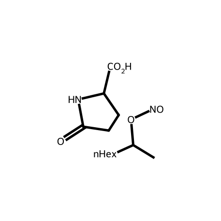 CCCCCCC(C)ON=O.O=C1CCC(C(=O)O)N1